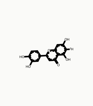 [2H]c1c(O)cc2oc(-c3ccc(O)c(O)c3)cc(=O)c2c1O